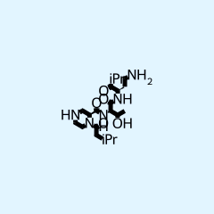 CC(C)CC(=O)N1CCNC[C@H]1C(=O)N[C@H](C(=O)N[C@@H](CCN)C(=O)C(C)C)C(C)O